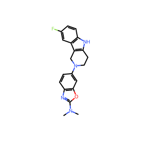 CN(C)c1nc2ccc(N3CCc4[nH]c5ccc(F)cc5c4C3)cc2o1